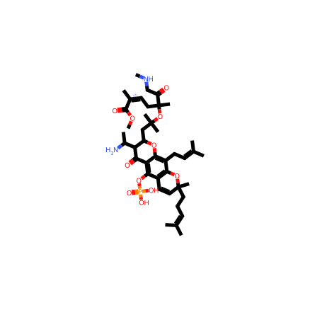 CNCC(=O)C(C)(C/C=C(/C)C(=O)OC)OC(C)(C)CC1Oc2c(CC=C(C)C)c3c(c(OP(=O)(O)O)c2C(=O)C1C(C)N)C=CC(C)(CCC=C(C)C)O3